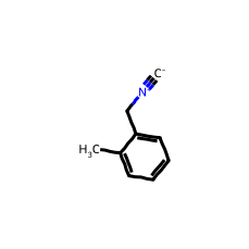 [C-]#[N+]Cc1ccccc1C